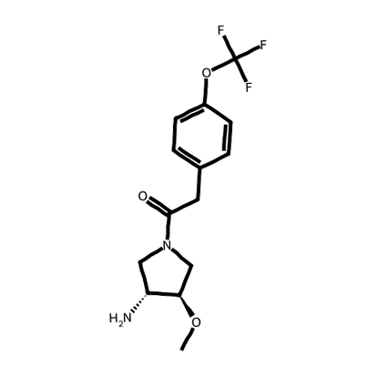 CO[C@@H]1CN(C(=O)Cc2ccc(OC(F)(F)F)cc2)C[C@H]1N